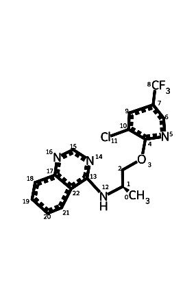 C[C@H](COc1ncc(C(F)(F)F)cc1Cl)Nc1ncnc2ccccc12